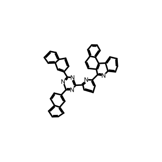 c1cc(-c2nc(-c3ccc4ccccc4c3)nc(-c3ccc4ccccc4c3)n2)nc(-c2nc3ccccc3c3c2ccc2ccccc23)c1